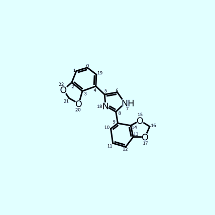 c1cc2c(c(-c3c[nH]c(-c4cccc5c4OCO5)n3)c1)OCO2